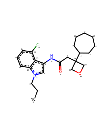 N#CCCn1cc(NC(=O)CC2(C3CCCCCC3)COC2)c2c(Cl)cccc21